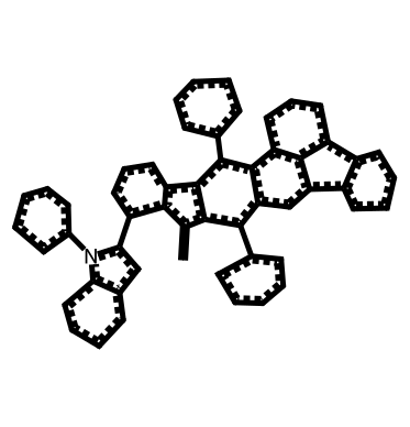 C=c1c2c(-c3cc4ccccc4n3-c3ccccc3)cccc2c2c(-c3ccccc3)c3c(cc4c5ccccc5c5cccc3c54)c(-c3ccccc3)c12